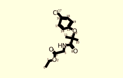 CCOC(=O)CNC(=O)C(C)(C)Oc1ccc(Cl)cc1